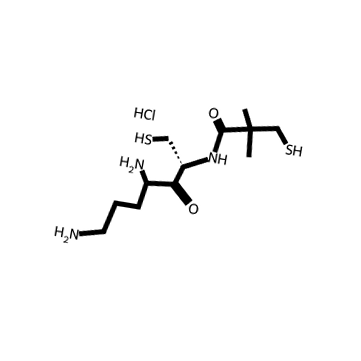 CC(C)(CS)C(=O)N[C@@H](CS)C(=O)C(N)CCCN.Cl